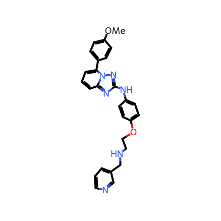 COc1ccc(-c2cccc3nc(Nc4ccc(OCCNCc5cccnc5)cc4)nn23)cc1